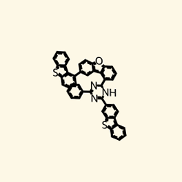 c1ccc(C2=NC(c3cccc4oc5ccc(-c6cccc7sc8ccccc8c67)cc5c34)NC(c3ccc4c(c3)sc3ccccc34)=N2)cc1